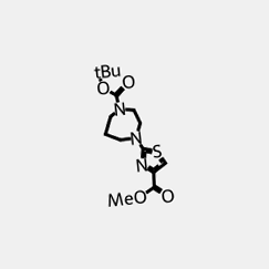 COC(=O)c1csc(N2CCCN(C(=O)OC(C)(C)C)CC2)n1